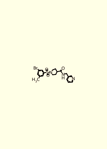 Cc1cc(Br)cc(S(=O)(=O)N2CCC(C(=O)NCc3cccnc3)CC2)c1